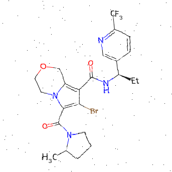 CC[C@@H](NC(=O)c1c(Br)c(C(=O)N2CCCC2C)n2c1COCC2)c1ccc(C(F)(F)F)nc1